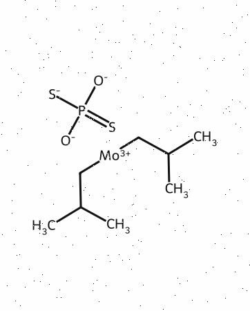 CC(C)[CH2][Mo+3][CH2]C(C)C.[O-]P([O-])(=S)[S-]